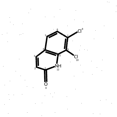 O=c1ccc2ccc(Cl)c(Cl)c2[nH]1